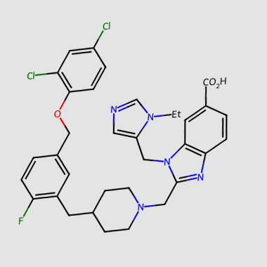 CCn1cncc1Cn1c(CN2CCC(Cc3cc(COc4ccc(Cl)cc4Cl)ccc3F)CC2)nc2ccc(C(=O)O)cc21